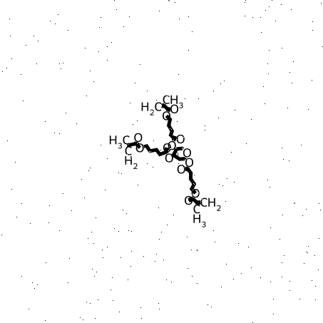 C=C(C)C(=O)OCCCCC(=O)OC1C[C@H](OC(=O)CCCCOC(=O)C(=C)C)C(OC(=O)CCCCOC(=O)C(=C)C)CO1